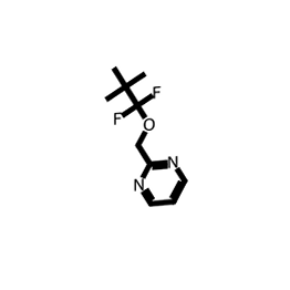 CC(C)(C)C(F)(F)OCc1ncccn1